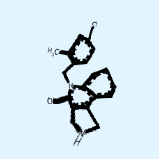 Cc1cc(Cl)ccc1Cn1c(=O)c2c(c3ccccc31)CNC2